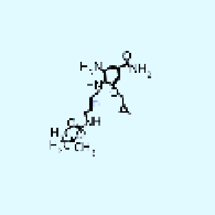 CC(C)(C)OC(=O)NC/C=C/CNc1c(N)cc(C(N)=O)cc1OCC1CC1